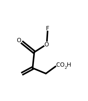 C=C(CC(=O)O)C(=O)OF